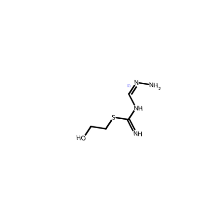 N=C(N/C=N\N)SCCO